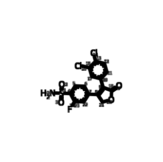 NS(=O)(=O)c1ccc(C2=C(c3ccc(Cl)c(Cl)c3)C(=O)OC2)cc1F